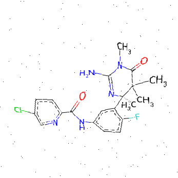 CN1C(=O)C(C)(C)[C@@](C)(c2cc(NC(=O)c3ccc(Cl)cn3)ccc2F)N=C1N